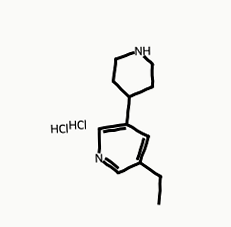 CCc1cncc(C2CCNCC2)c1.Cl.Cl